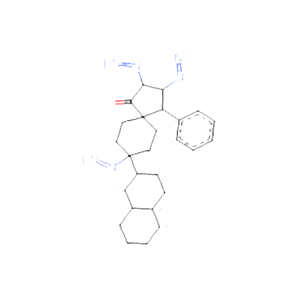 N=NC1C(=O)C2(CCC(N=N)(C3CCC4CCCCC4C3)CC2)C(c2ccccc2)C1N=N